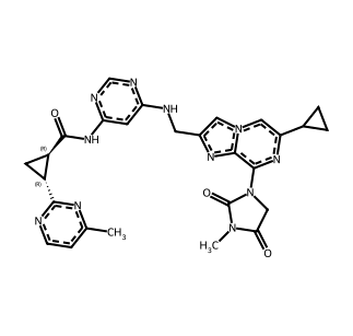 Cc1ccnc([C@@H]2C[C@H]2C(=O)Nc2cc(NCc3cn4cc(C5CC5)nc(N5CC(=O)N(C)C5=O)c4n3)ncn2)n1